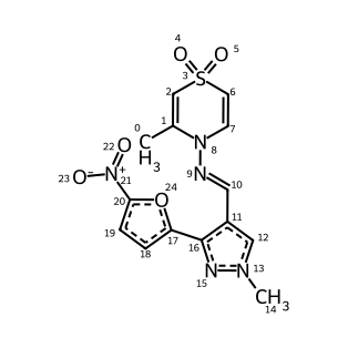 CC1=CS(=O)(=O)C=CN1N=Cc1cn(C)nc1-c1ccc([N+](=O)[O-])o1